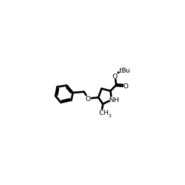 CC1NC(C(=O)OC(C)(C)C)CC1OCc1ccccc1